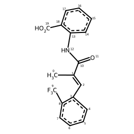 CC(=Cc1ccccc1C(F)(F)F)C(=O)Nc1ccccc1C(=O)O